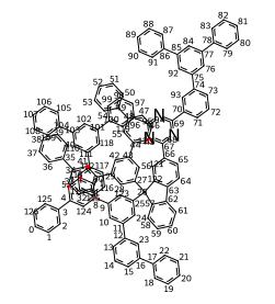 c1ccc(-c2cccc(-c3cc(-c4cccc(-c5ccccc5)c4)cc(C4(c5cc(-c6cccc(-c7ccccc7)c6)cc(-c6cccc(-c7ccccc7)c6)c5)c5ccccc5-c5ccc(-c6nc(-c7cccc(-c8cc(-c9ccccc9)cc(-c9ccccc9)c8)c7)nc(-c7cccc(-c8cc(-c9ccccc9)cc(-c9ccccc9)c8)c7)n6)cc54)c3)c2)cc1